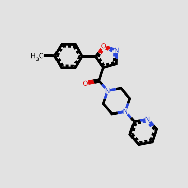 Cc1ccc(-c2oncc2C(=O)N2CCN(c3ccccn3)CC2)cc1